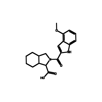 COc1cccc2[nH]c(C(=O)N3CC4CCCCC4C3C(=O)O)cc12